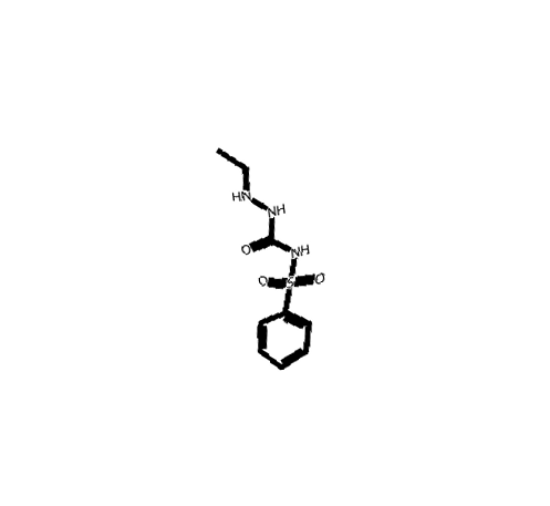 CCNNC(=O)NS(=O)(=O)c1ccccc1